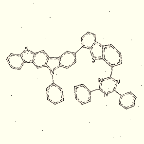 c1ccc(-c2nc(-c3ccccc3)nc(-c3cccc4c3sc3c(-c5ccc6c(c5)c5cc7sc8ccccc8c7cc5n6-c5ccccc5)cccc34)n2)cc1